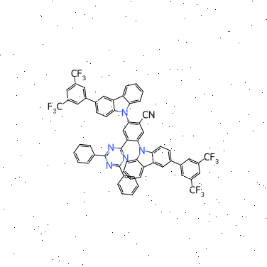 N#Cc1cc(-n2c3ccccc3c3cc(-c4cc(C(F)(F)F)cc(C(F)(F)F)c4)ccc32)c(-c2nc(-c3ccccc3)nc(-c3ccccc3)n2)cc1-n1c2ccccc2c2cc(-c3cc(C(F)(F)F)cc(C(F)(F)F)c3)ccc21